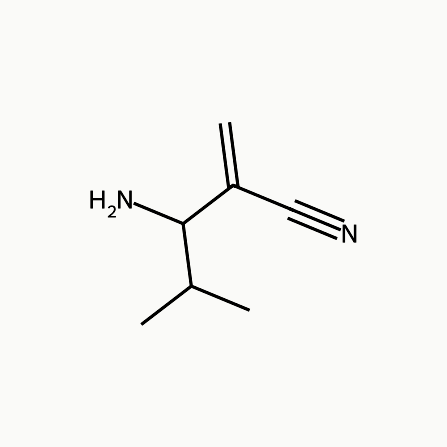 C=C(C#N)C(N)C(C)C